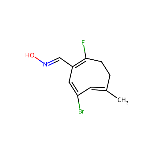 C\C1=C/C(Br)=C\C(\C=N\O)=C(\F)CC1